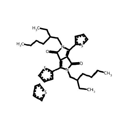 CCCCC(CC)CN1C(=O)C2=C(c3cccs3)N(CC(CC)CCCC)C(=O)C2=C1c1cccs1.c1ccsc1